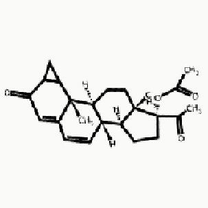 CC(=O)O[C@]1(C(C)=O)CC[C@H]2[C@@H]3C=CC4=CC(=O)C5CC5[C@]4(C)[C@H]3CC[C@@]21C